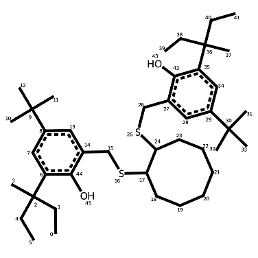 CCC(C)(CC)c1cc(C(C)(C)C)cc(CSC2CCCCCCC2SCc2cc(C(C)(C)C)cc(C(C)(CC)CC)c2O)c1O